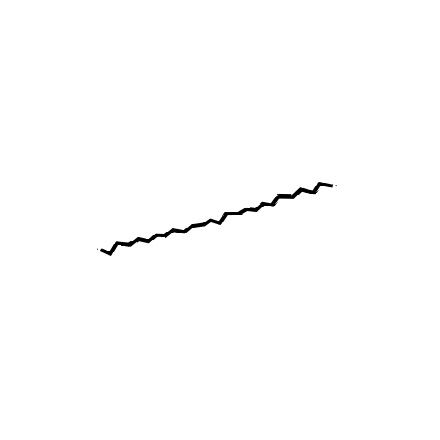 [CH2]CCC/C=C/CCCCCCCCCCCCCCCCCCC[CH2]